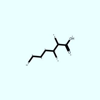 O=C(O)C(I)C(I)CCCI